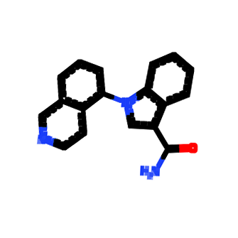 NC(=O)c1cn(-c2cccc3cnccc23)c2ccccc12